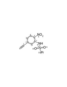 [C]#Cc1ccc([N+](=O)[O-])c(NS(=O)(=O)C(C)C)c1